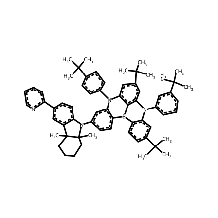 CC(C)(C)c1ccc(N2c3cc(N4c5ccc(-c6ccccn6)cc5C5(C)CCCCC45C)ccc3B3c4ccc(C(C)(C)C)cc4N(c4cccc(C(C)(C)C)c4)c4cc(C(C)(C)C)cc2c43)cc1